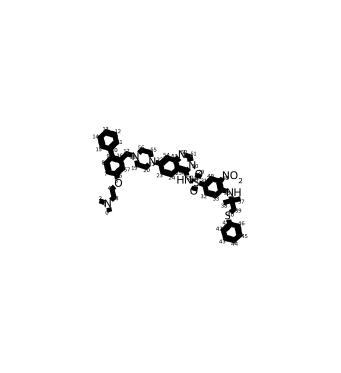 CN(C)CCOc1ccc(-c2ccccc2)c(CN2CCN(c3ccc4c(NS(=O)(=O)c5ccc(NC(C)(C)CSc6ccccc6)c([N+](=O)[O-])c5)ncnc4c3)CC2)c1